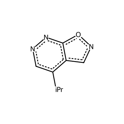 CC(C)c1cnnc2oncc12